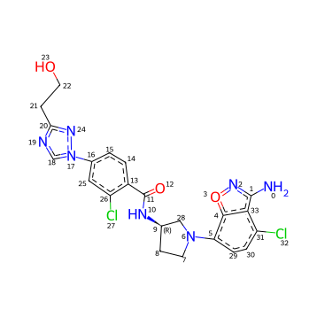 Nc1noc2c(N3CC[C@@H](NC(=O)c4ccc(-n5cnc(CCO)n5)cc4Cl)C3)ccc(Cl)c12